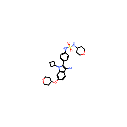 Nc1c(-c2ccc(NS(=O)(=O)NC3CCOCC3)cc2)n(C2CCC2)c2cc(OC3CCOCC3)ccc12